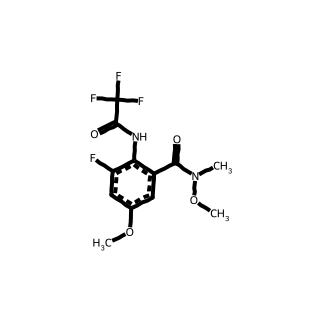 COc1cc(F)c(NC(=O)C(F)(F)F)c(C(=O)N(C)OC)c1